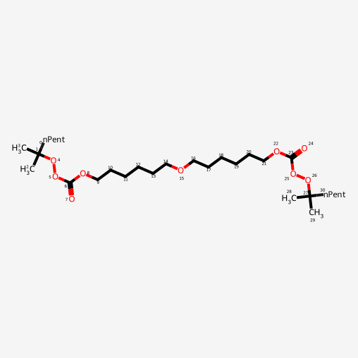 CCCCCC(C)(C)OOC(=O)OCCCCCCOCCCCCCOC(=O)OOC(C)(C)CCCCC